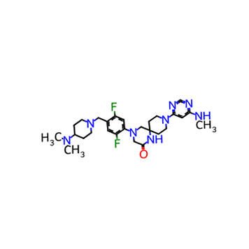 CNc1cc(N2CCC3(CC2)CN(c2cc(F)c(CN4CCC(N(C)C)CC4)cc2F)CC(=O)N3)ncn1